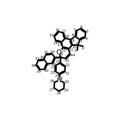 CC1(C)c2ccccc2-c2c1c1c(c3ccccc23)OC(c2ccc(N3CCCCC3)cc2)(c2ccc3ccccc3c2)C=C1